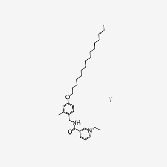 CCCCCCCCCCCCCCCCOc1ccc(CNC(=O)c2ccc[n+](CC)c2)c(C)c1.[I-]